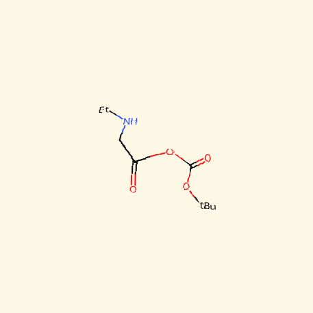 CCNCC(=O)OC(=O)OC(C)(C)C